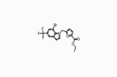 CCOC(=O)c1ccc(Cn2ccc3cc(C(F)(F)F)cc(Br)c32)o1